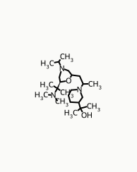 CC(C)N1CC(CC(C)N2CCCC(C(C)(C)O)C2)O[C@@H](C(C)(C)N(C)C)C1